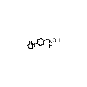 ONCc1ccc(-n2cccn2)cc1